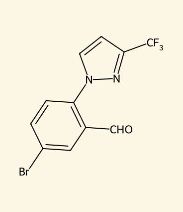 O=Cc1cc(Br)ccc1-n1ccc(C(F)(F)F)n1